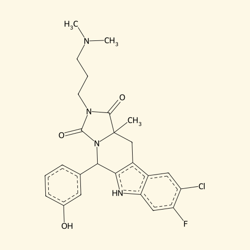 CN(C)CCCN1C(=O)N2C(c3cccc(O)c3)c3[nH]c4cc(F)c(Cl)cc4c3CC2(C)C1=O